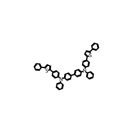 c1ccc(-c2ccc(-c3ccc(N(c4ccccc4)c4ccc(-c5ccc(N(c6ccccc6)c6ccc(-c7ccc(-c8ccccc8)s7)cc6)cc5)cc4)cc3)s2)cc1